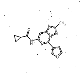 Cc1nc2cc(NC(=O)C3CC3)nc(-c3ccoc3)n2n1